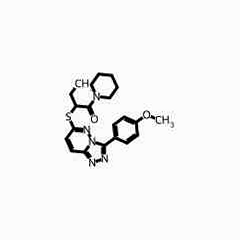 CCC(Sc1ccc2nnc(-c3ccc(OC)cc3)n2n1)C(=O)N1CCCCC1